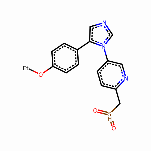 CCOc1ccc(-c2cncn2-c2ccc(C[SH](=O)=O)nc2)cc1